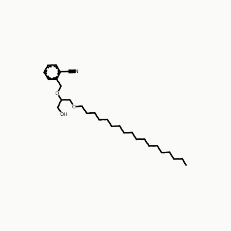 CCCCCCCCCCCCCCCCCCOCC(CO)OCc1ccccc1C#N